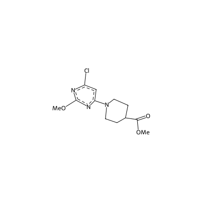 COC(=O)C1CCN(c2cc(Cl)nc(OC)n2)CC1